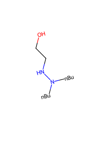 CCCCN(CCCC)NCCO